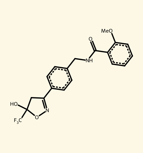 COc1ccccc1C(=O)NCc1ccc(C2=NOC(O)(C(F)(F)F)C2)cc1